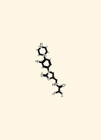 O=C(NCC1CN(c2ccc(N3CCNCC3)c(F)c2)C(=O)O1)C(F)F